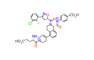 N[C@@H](CCC(=O)O)C(=O)N1CC=C(c2cccc3c2CCN(C(=O)[C@H]2CC(c4cccc(Cl)c4F)=NO2)[C@@H]3C(=O)Nc2ccc(C(=O)O)cc2)CC1